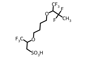 CC(F)(F)C(OCCCCOC(CS(=O)(=O)O)C(F)(F)F)C(F)(F)F